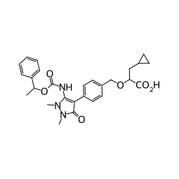 CC(OC(=O)Nc1c(-c2ccc(COC(CC3CC3)C(=O)O)cc2)c(=O)n(C)n1C)c1ccccc1